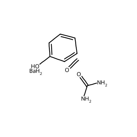 C=O.NC(N)=O.Oc1ccccc1.[BaH2]